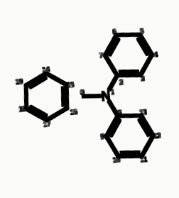 CN(c1ccccc1)c1ccccc1.c1ccccc1